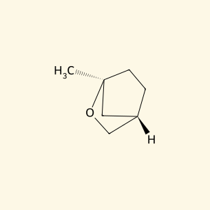 C[C@@]12CC[C@H](CO1)C2